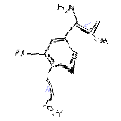 N/C(=N/O)c1ccc(/C=C/C(=O)O)c(C(F)(F)F)c1